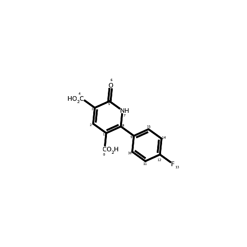 O=C(O)c1cc(C(=O)O)c(=O)[nH]c1-c1ccc(F)cc1